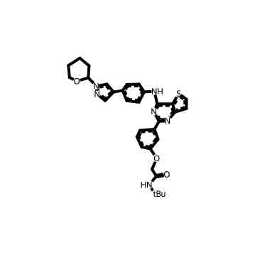 CC(C)(C)NC(=O)COc1cccc(-c2nc(Nc3ccc(-c4cnn(C5CCCCO5)c4)cc3)c3sccc3n2)c1